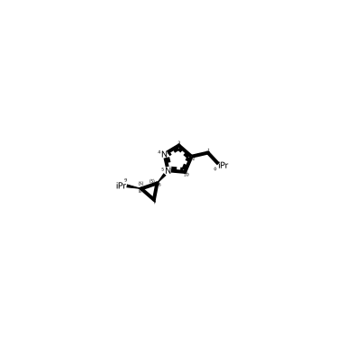 CC(C)Cc1cnn([C@H]2C[C@H]2C(C)C)c1